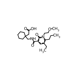 CCCc1c(CC)cc(C(=O)NCC2(CC(=O)O)CCCCC2)c(=O)n1CCOC